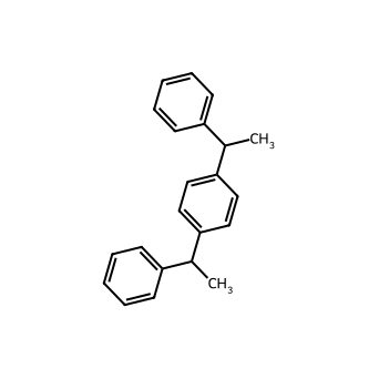 CC(c1ccccc1)c1ccc(C(C)c2ccccc2)cc1